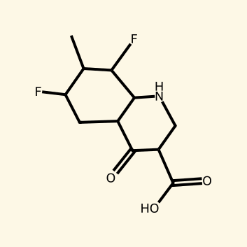 CC1C(F)CC2C(=O)C(C(=O)O)CNC2C1F